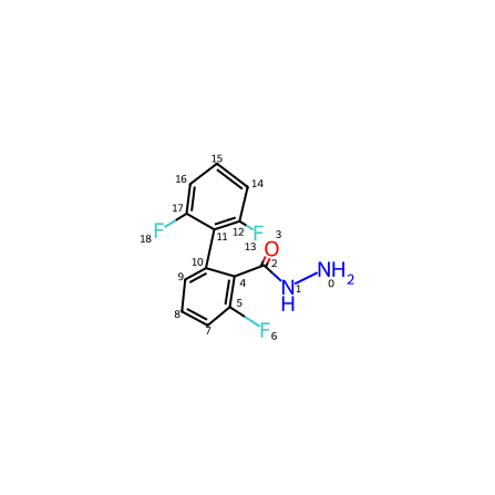 NNC(=O)c1c(F)cccc1-c1c(F)cccc1F